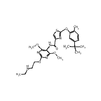 CCNCCOc1nc(OC)c(NC(=O)c2csc(Oc3cc(C(C)(C)C)ccc3C)n2)c(OC)n1